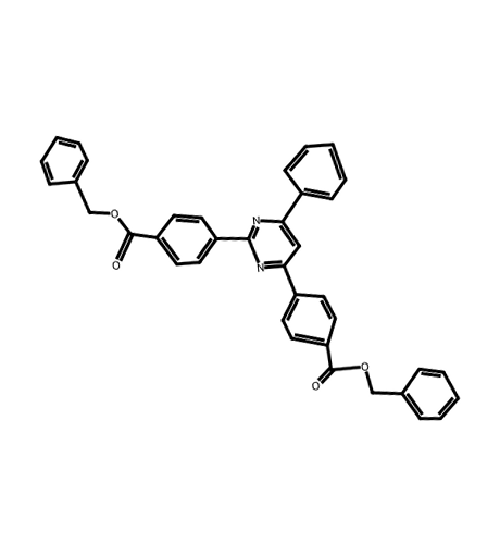 O=C(OCc1ccccc1)c1ccc(-c2cc(-c3ccccc3)nc(-c3ccc(C(=O)OCc4ccccc4)cc3)n2)cc1